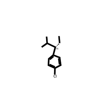 CC[C@H](c1ccc(Cl)cc1)C(C)C